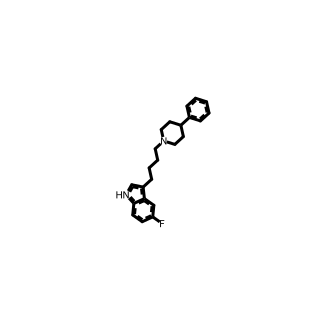 Fc1ccc2[nH]cc(CCCCN3CCC(c4ccccc4)CC3)c2c1